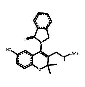 CONCC1=C(N2Cc3ccccc3C2=O)c2cc(C#N)ccc2OC1(C)C